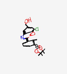 Cc1c(B2OC(C)(C)C(C)(C)O2)cccc1-c1nc2cc(CO)cc(Cl)c2o1